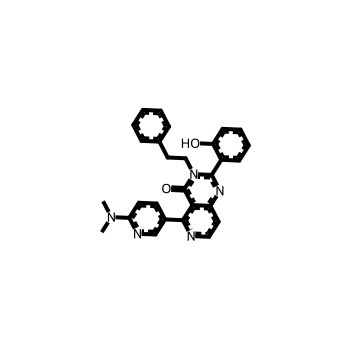 CN(C)c1ccc(-c2nccc3nc(-c4ccccc4O)n(CCc4ccccc4)c(=O)c23)cn1